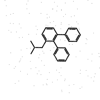 CC(C)Cc1cc[c]c(-c2ccccc2)c1-c1ccccc1